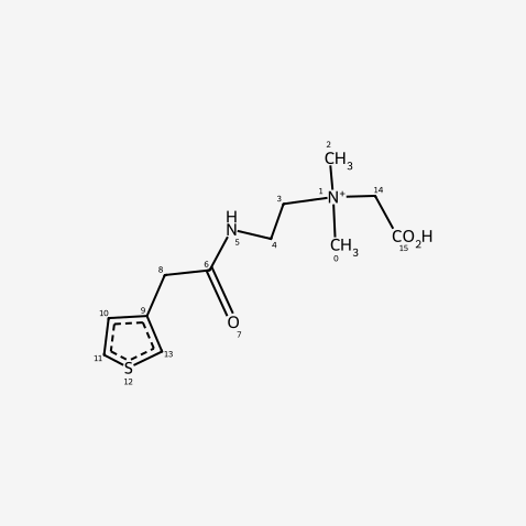 C[N+](C)(CCNC(=O)Cc1ccsc1)CC(=O)O